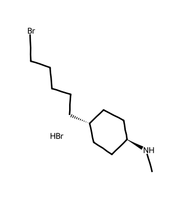 Br.CN[C@H]1CC[C@H](CCCCCBr)CC1